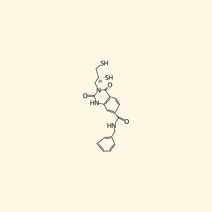 O=C(NCc1ccccc1)c1ccc2c(=O)n(C[C@@H](S)CS)c(=O)[nH]c2c1